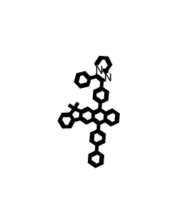 CC1(C)c2ccccc2-c2cc3c(-c4ccc(-c5ccccc5)cc4)c4ccccc4c(-c4ccc(-c5nc6ccccn6c5-c5ccccc5)cc4)c3cc21